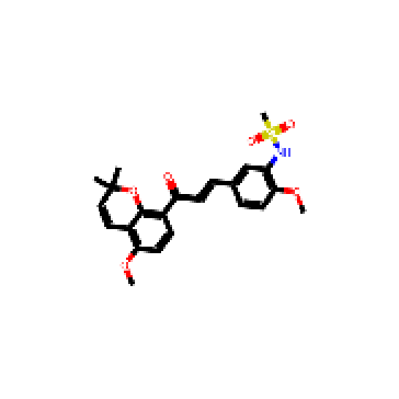 COc1ccc(/C=C/C(=O)c2ccc(OC)c3c2OC(C)(C)C=C3)cc1NS(C)(=O)=O